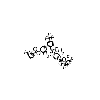 CN(Cc1ccc(C(F)(F)F)cc1N1CCC(OC(=O)[C@H]2CCCN2)CC1)C1(C)CCN(C(=O)OC(C(F)(F)F)C(F)(F)F)CC1